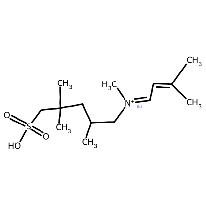 CC(C)=C/C=[N+](\C)CC(C)CC(C)(C)CS(=O)(=O)O